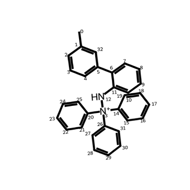 Cc1cccc(-c2ccccc2N[N+](c2ccccc2)(c2ccccc2)c2ccccc2)c1